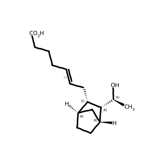 C[C@H](O)[C@@H]1[C@@H]2CC[C@H](C2)[C@@H]1C/C=C/CCCC(=O)O